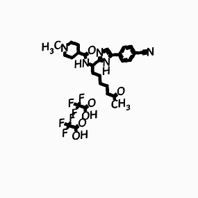 CC(=O)CCCCCC(NC(=O)C1CCN(C)CC1)c1ncc(-c2ccc(C#N)cc2)[nH]1.O=C(O)C(F)(F)F.O=C(O)C(F)(F)F